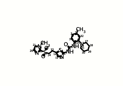 Cc1ccc(NC(=O)Nc2ncc(CCS(=O)(=O)c3nccn3C)s2)c(N2CCCCC2)c1